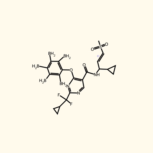 Bc1c(B)c(B)c(Oc2nc(C(F)(F)C3CC3)ncc2C(=O)NC(/C=C/S(C)(=O)=O)C2CC2)c(B)c1B